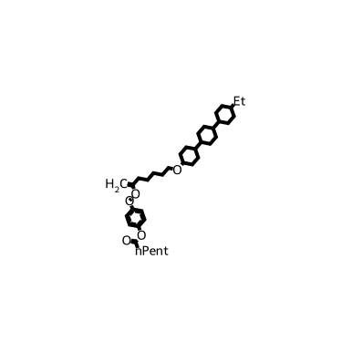 C=C(CCCCCOC1CCC(C2CCC(C3CCC(CC)CC3)CC2)CC1)OOc1ccc(OC(=O)CCC[CH-][CH2+])cc1